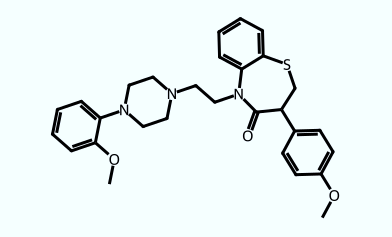 COc1ccc(C2CSc3ccccc3N(CCN3CCN(c4ccccc4OC)CC3)C2=O)cc1